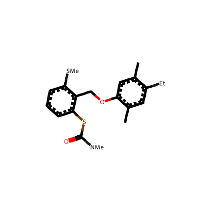 CCc1cc(C)c(OCc2c(SC)cccc2SC(=O)NC)cc1C